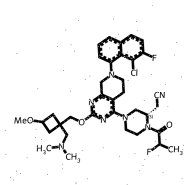 COC1CC(COc2nc3c(c(N4CCN(C(=O)C(C)F)[C@@H](CC#N)C4)n2)CCN(c2cccc4ccc(F)c(Cl)c24)C3)(CN(C)C)C1